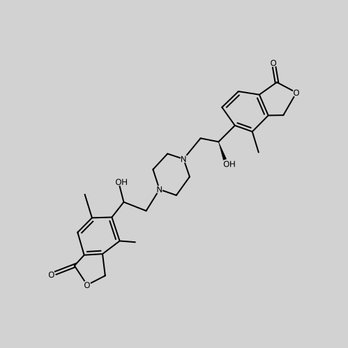 Cc1cc2c(c(C)c1C(O)CN1CCN(C[C@H](O)c3ccc4c(c3C)COC4=O)CC1)COC2=O